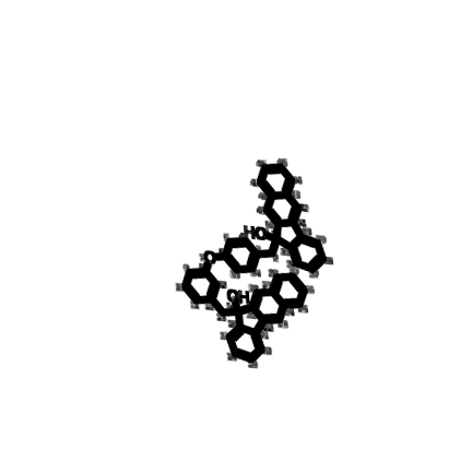 OC1(Cc2ccc(Oc3cccc(CC4(O)c5ccccc5-c5cc6ccccc6cc54)c3)cc2)c2ccccc2-c2cc3ccccc3cc21